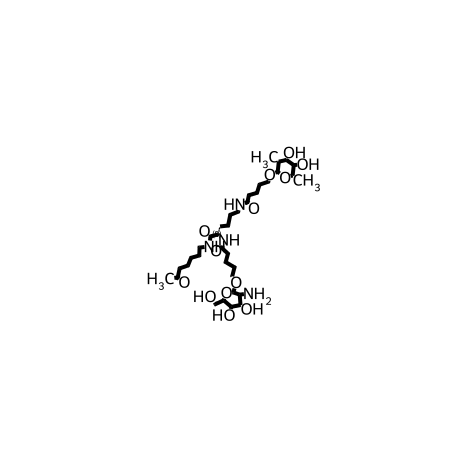 CC(=O)CCCCCNC(=O)[C@H](CCCCNC(=O)CCCCOC1OC(C)C(O)C(O)C1C)NC(=O)CCCCOC1OC(CO)C(O)C(O)C1N